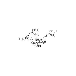 C[C@H](N)C(=O)O.NCCCC[C@H](N)C(=O)O.NCCCC[C@H](N)C(=O)O.O=C(O)[C@@H]1CCCN1